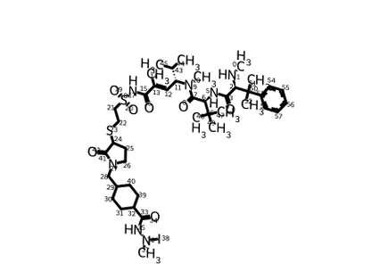 CN[C@H](C(=O)N[C@H](C(=O)N(C)[C@H](/C=C(\C)C(=O)NS(=O)(=O)CCSC1CCN(CC2CCC(C(=O)NN(C)I)CC2)C1=O)C(C)C)C(C)(C)C)C(C)(C)c1ccccc1